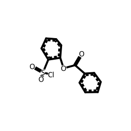 O=C(Oc1ccccc1S(=O)(=O)Cl)c1ccccc1